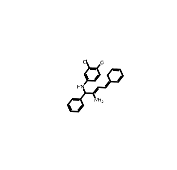 N/C(=C\C=C1\C=CC=CC1)C(Nc1ccc(Cl)c(Cl)c1)c1ccccc1